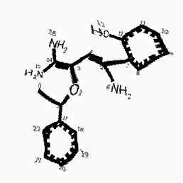 CC(OC(/C=C(\N)c1ccccc1O)=C(N)N)c1ccccc1